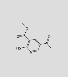 COC(=O)c1cc(C(C)=O)cnc1S